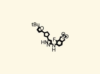 CC(C)(C)c1ccc(C2CCC(c3cc(Nc4ccc5c(c4F)CS(=O)(=O)C5)n[nH]3)C2)o1